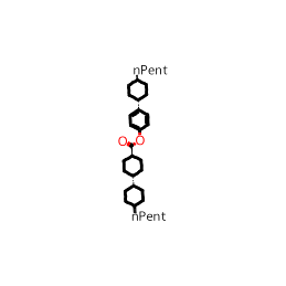 CCCCCC1CCC([C@H]2CC[C@H](C(=O)Oc3ccc([C@H]4CC[C@H](CCCCC)CC4)cc3)CC2)CC1